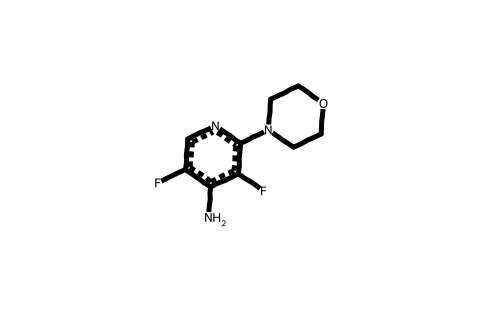 Nc1c(F)cnc(N2CCOCC2)c1F